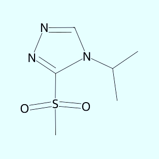 CC(C)n1cnnc1S(C)(=O)=O